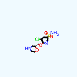 NS(=O)(=O)c1cnc(OC[C@H]2CNCCO2)c(Cl)c1